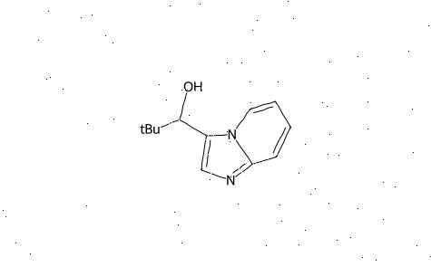 CC(C)(C)C(O)c1cnc2ccccn12